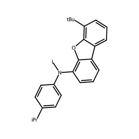 CC(C)c1ccc(N(I)c2cccc3c2oc2c(C(C)(C)C)cccc23)cc1